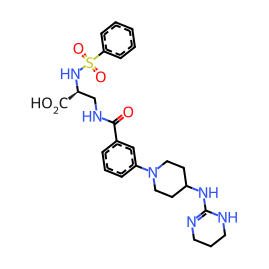 O=C(NC[C@H](NS(=O)(=O)c1ccccc1)C(=O)O)c1cccc(N2CCC(NC3=NCCCN3)CC2)c1